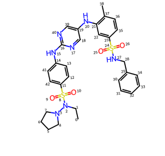 CCN(N1CCCC1)S(=O)(=O)c1ccc(Nc2ncc(Nc3cc(S(=O)(=O)NCc4ccccc4)ccc3C)cn2)cc1